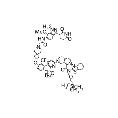 COc1c(NC(=O)CN2CCC3(CC2)CC(Oc2cccc(-c4ccc(N5CCc6ccnc(C(=O)N(COCC[Si](C)(C)C)c7nc8ccccc8s7)c6C5)nc4C(=O)OC(C)(C)C)c2C(F)(F)F)C3)ccc2c(C3CCC(=O)NC3=O)nn(C)c12